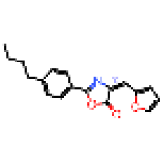 CCCCc1ccc(C2=N/C(=C/c3ccco3)C(=O)O2)cc1